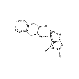 CCc1sc2ncnc(NC(Cc3ccccc3)C(=O)OC)c2c1I